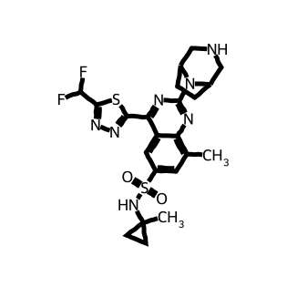 Cc1cc(S(=O)(=O)NC2(C)CC2)cc2c(-c3nnc(C(F)F)s3)nc(N3C4CCC3CNC4)nc12